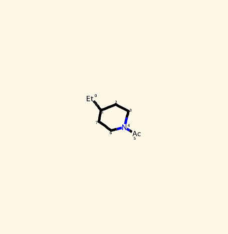 CCC1CCN(C(C)=O)CC1